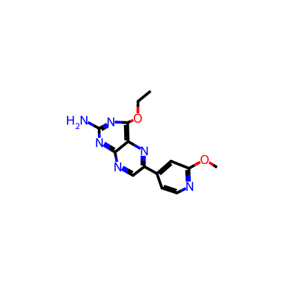 CCOc1nc(N)nc2ncc(-c3ccnc(OC)c3)nc12